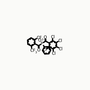 O=C(c1c(C(F)(F)F)cccc1C(F)(F)F)P(=O)(C(=O)c1c(Cl)c(Cl)c(Cl)c(Cl)c1Cl)c1ccccc1